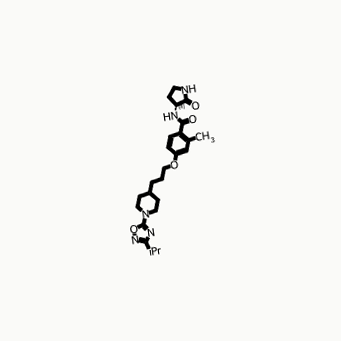 Cc1cc(OCCCC2CCN(c3nc(C(C)C)no3)CC2)ccc1C(=O)N[C@@H]1CCNC1=O